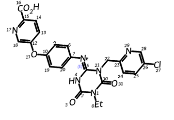 CCn1c(=O)[nH]/c(=N\c2ccc(Oc3ccc(C(=O)O)nc3)cc2)n(Cc2ccc(Cl)cn2)c1=O